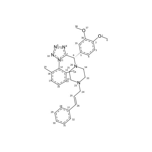 COc1ccc([C@@H](c2nnnn2-c2c(C)cccc2C)N2CCN(C/C=C/c3ccccc3)CC2)cc1OC